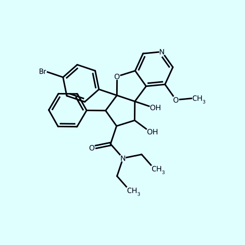 CCN(CC)C(=O)C1C(O)C2(O)c3c(OC)cncc3OC2(c2ccc(Br)cc2)C1c1ccccc1